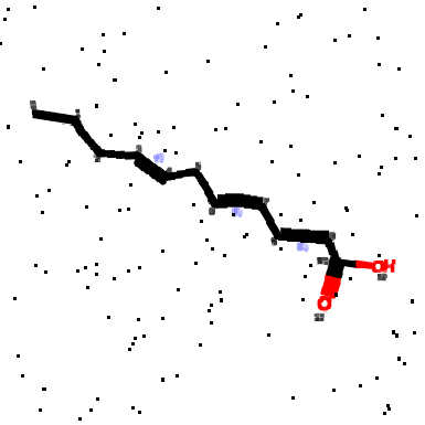 CCC/C=C/C/C=C/C=C/C(=O)O